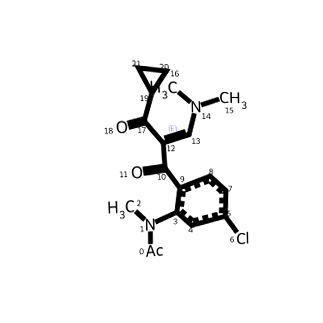 CC(=O)N(C)c1cc(Cl)ccc1C(=O)/C(=C/N(C)C)C(=O)C1CC1